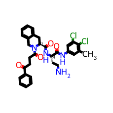 Cc1cc(NC(=O)[C@H](CCN)NC(=O)[C@@H]2Cc3ccccc3CN2C(=O)CCC(=O)c2ccccc2)cc(Cl)c1Cl